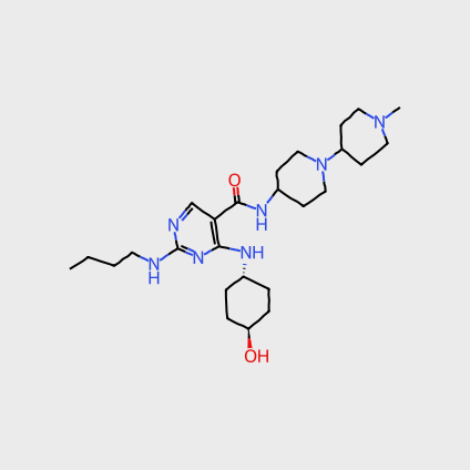 CCCCNc1ncc(C(=O)NC2CCN(C3CCN(C)CC3)CC2)c(N[C@H]2CC[C@H](O)CC2)n1